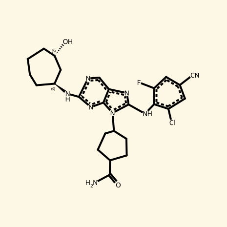 N#Cc1cc(F)c(Nc2nc3cnc(N[C@H]4CCCC[C@H](O)C4)nc3n2C2CCC(C(N)=O)CC2)c(Cl)c1